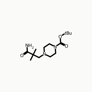 CC(C)(C)OC(=O)N1CCN(CC(C)(C)C(N)=O)CC1